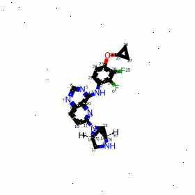 Fc1c(Nc2ncnc3ccc(N4C[C@@H]5C[C@H]4CN5)nc23)ccc(OC2CC2)c1F